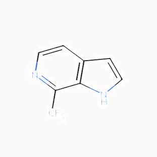 FC(F)(F)c1nccc2cc[nH]c12